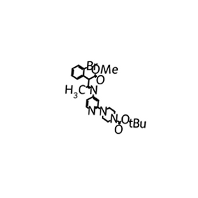 COC(=O)C(C(C)=Nc1ccnc(N2CCN(C(=O)OC(C)(C)C)CC2)c1)c1ccccc1Br